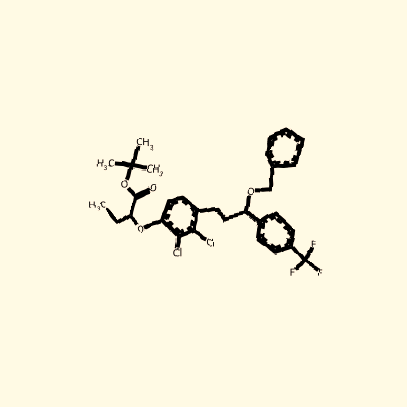 CCC(Oc1ccc(CCC(OCc2ccccc2)c2ccc(C(F)(F)F)cc2)c(Cl)c1Cl)C(=O)OC(C)(C)C